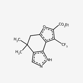 CCOC(=O)c1oc2c(c1C(F)(F)F)-c1[nH]ncc1C(C)(C)C2